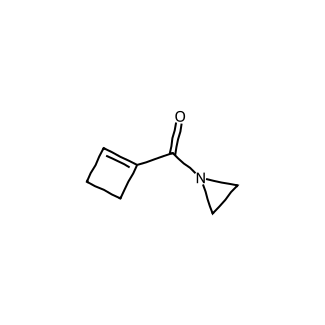 O=C(C1=CCC1)N1CC1